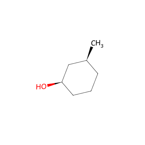 C[C@H]1CCC[C@@H](O)C1